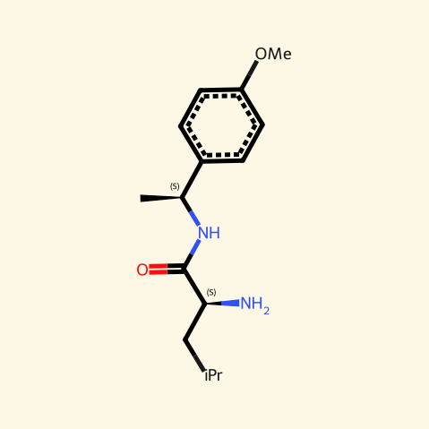 COc1ccc([C@H](C)NC(=O)[C@@H](N)CC(C)C)cc1